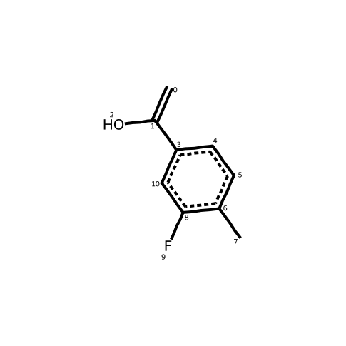 C=C(O)c1ccc(C)c(F)c1